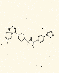 C[C@@H](NC(=O)c1ccc(-n2cccc2)cc1)C1CCC(c2ccnc3ccc(F)cc23)CC1